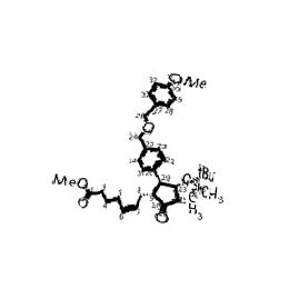 COC(=O)CCC/C=C\C[C@H]1C(=O)C[C@@H](O[Si](C)(C)C(C)(C)C)[C@@H]1c1ccc(COCc2ccc(OC)cc2)cc1